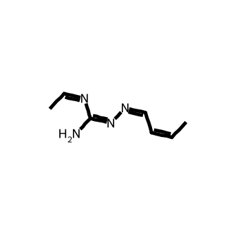 C\C=C/C=N\N=C(N)/N=C\C